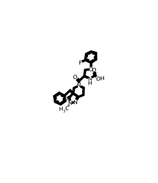 CN1N=C2CCN(C(=O)C(COc3ccccc3F)NC(=O)O)CC2(Cc2ccccc2)C1=O